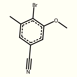 COc1cc(C#N)cc(C)c1Br